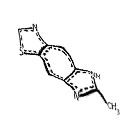 Cc1nc2cc3scnc3cc2[nH]1